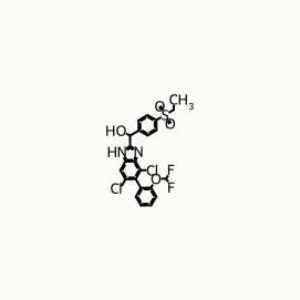 CCS(=O)(=O)c1ccc(C(O)c2nc3c(Cl)c(-c4ccccc4OC(F)F)c(Cl)cc3[nH]2)cc1